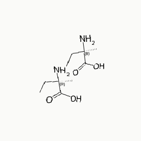 CC[C@@](C)(N)C(=O)O.CC[C@@](C)(N)C(=O)O